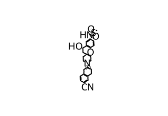 CS(=O)(=O)Nc1ccc2c(c1)C(O)CC1(CCN([C@H]3CCc4cc(C#N)ccc4C3)CC1)O2